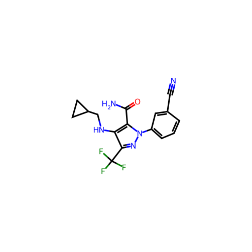 N#Cc1cccc(-n2nc(C(F)(F)F)c(NCC3CC3)c2C(N)=O)c1